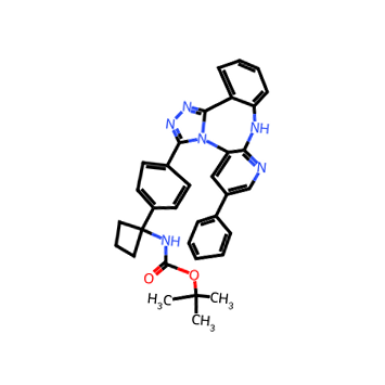 CC(C)(C)OC(=O)NC1(c2ccc(-c3nnc4n3-c3cc(-c5ccccc5)cnc3Nc3ccccc3-4)cc2)CCC1